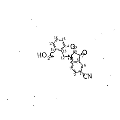 N#Cc1ccc2c(c1)C(=O)C(=O)N2Cc1ccccc1C(=O)O